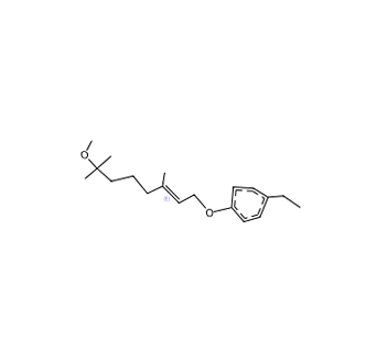 CCc1ccc(OC/C=C(\C)CCCC(C)(C)OC)cc1